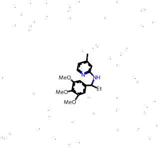 CCC(Nc1cc(C)ccn1)c1cc(OC)c(OC)c(OC)c1